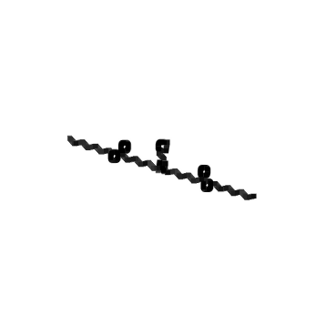 CCCCCCCOC(=O)CCCCCN(CCCl)CCCCCC(=O)OCCCCCCC